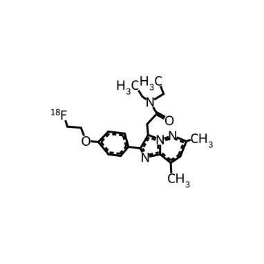 CCN(CC)C(=O)Cc1c(-c2ccc(OCC[18F])cc2)nc2c(C)cc(C)nn12